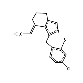 O=C(O)/C=C1\CCCc2cnn(Cc3ccc(Cl)cc3Cl)c21